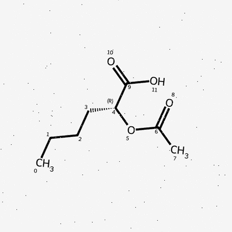 CCCC[C@@H](OC(C)=O)C(=O)O